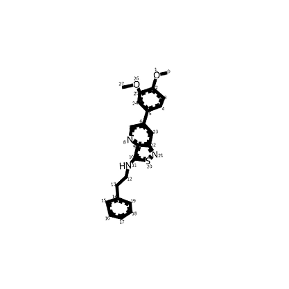 COc1ccc(-c2cnc3c(NCCc4ccccc4)snc3c2)cc1OC